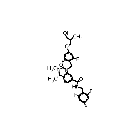 CC(CO)COc1cc(F)c(CN2C(=O)N(C)[C@@H](C)c3ccc(C(=O)NCc4c(F)cc(F)cc4F)cc32)c(F)c1